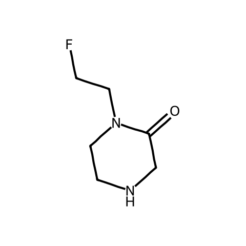 O=C1CNCCN1CCF